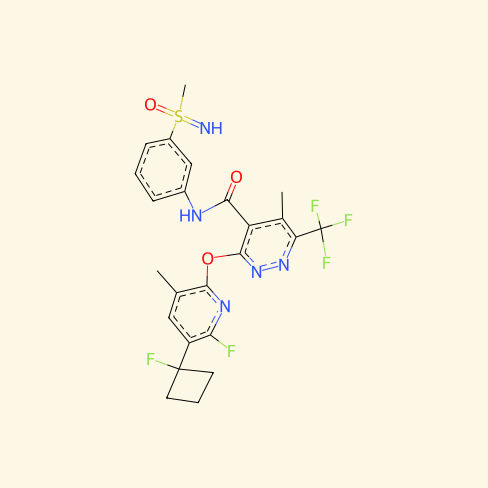 Cc1cc(C2(F)CCC2)c(F)nc1Oc1nnc(C(F)(F)F)c(C)c1C(=O)Nc1cccc(S(C)(=N)=O)c1